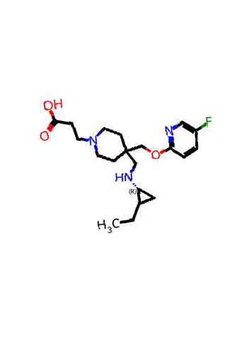 CCC1C[C@H]1NCC1(COc2ccc(F)cn2)CCN(CCC(=O)O)CC1